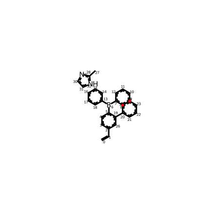 C=Cc1ccc(B(c2ccccc2)c2ccccc2)c(-c2ccccc2)c1.Cc1ncc[nH]1